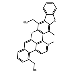 Cc1c2c(c(CC(C)(C)C)c3c1oc1ccccc13)Oc1cc3cccc(CC(C)(C)C)c3c3cc[n+](C)c-2c13